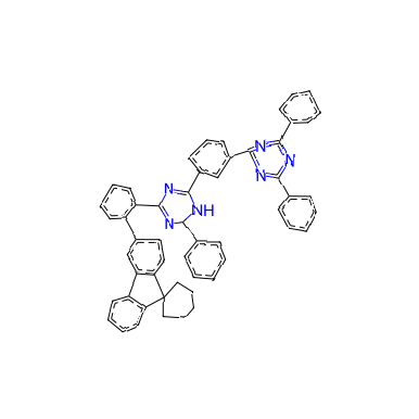 c1ccc(-c2nc(-c3ccccc3)nc(-c3cccc(C4=NC(c5ccccc5-c5ccc6c(c5)-c5ccccc5C65CCCCC5)=NC(c5ccccc5)N4)c3)n2)cc1